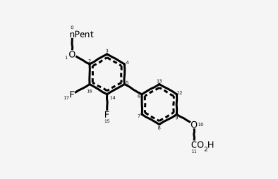 CCCCCOc1ccc(-c2ccc(OC(=O)O)cc2)c(F)c1F